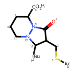 CC(=O)SCC1C(=O)N2C(C(=O)O)CCCN2C1C(C)(C)C